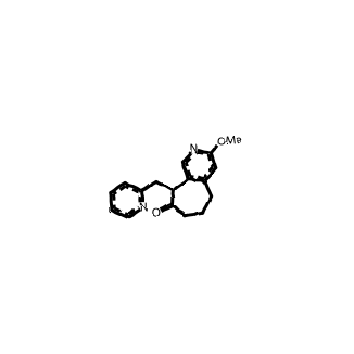 COc1cc2c(cn1)C(Cc1ccccn1)C(=O)CCC2